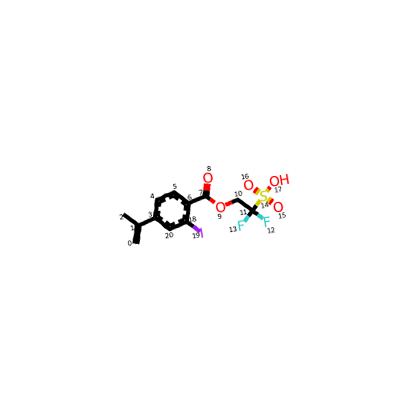 C=C(C)c1ccc(C(=O)OCC(F)(F)S(=O)(=O)O)c(I)c1